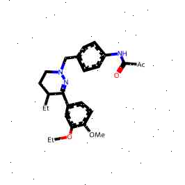 CCOc1cc(C2=NN(Cc3ccc(NC(=O)C(C)=O)cc3)CCC2CC)ccc1OC